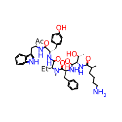 CC[C@@H](C(=O)N[C@@H](Cc1ccc(O)cc1)C(=O)N[C@H](Cc1c[nH]c2ccccc12)C(C)=O)N(C)C(=O)[C@H](Cc1ccccc1)NC(O)[C@@H](NC(=O)[C@@H](C)CCCCN)[C@@H](C)O